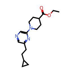 CCOC(=O)C1CCN(c2cncc(CCC3CC3)n2)CC1